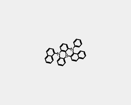 c1ccc(N2c3cccc4c3B(c3ccccc3N4c3cccc4ccccc34)c3ccc4ccccc4c32)cc1